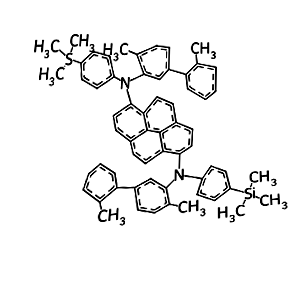 Cc1ccccc1-c1ccc(C)c(N(c2ccc([Si](C)(C)C)cc2)c2ccc3ccc4c(N(c5ccc(S(C)(C)C)cc5)c5cc(-c6ccccc6C)ccc5C)ccc5ccc2c3c54)c1